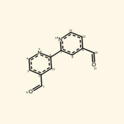 O=Cc1ccnc(-c2cc(C=O)ccn2)c1